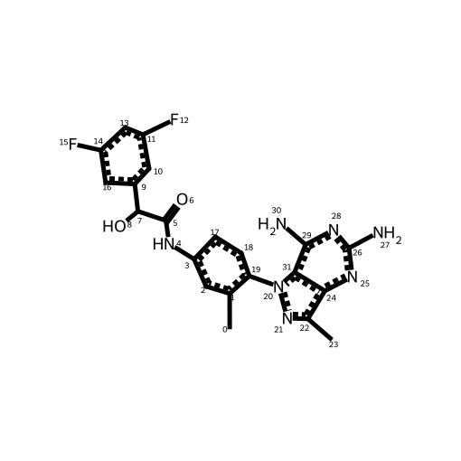 Cc1cc(NC(=O)C(O)c2cc(F)cc(F)c2)ccc1-n1nc(C)c2nc(N)nc(N)c21